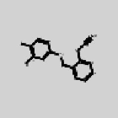 Cc1ccc(OCc2ccccc2CC#N)cc1C